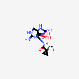 N=C1NC2CNC(=N)N3CC(NC(=O)C4(C(F)(F)F)CC4)C(O)(O)C23N1